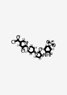 CS(=O)(=O)c1ccc(N[C@H]2CCN(C3CCN(c4ncc(C(=O)Cl)cc4Cl)CC3)C2=O)c(F)c1